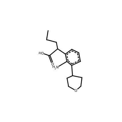 CCCC(C(=O)O)c1cccc(C2CCOCC2)c1N